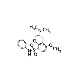 COc1ccc(S(=O)(=O)Nc2ccccc2)c2c1C[C@@H](N(C)C)CO2